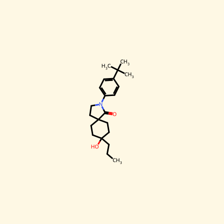 CCCC1(O)CCC2(CCN(c3ccc(C(C)(C)C)cc3)C2=O)CC1